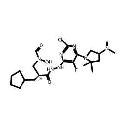 CN(C)C1CN(c2nc(Cl)nc(NNC(=O)[C@@H](CC3CCCC3)CN(O)C=O)c2F)C(C)(C)C1